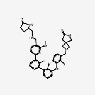 COc1nc(-c2ccnc(-c3cccc(Nc4cccc(CN5CC6(CNC(=O)C6)C5)c4F)c3Cl)c2Cl)ccc1CNCC1CCC(=O)N1